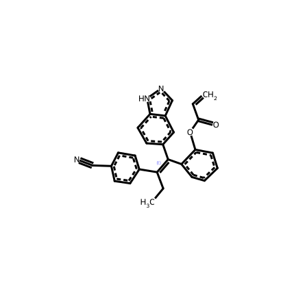 C=CC(=O)Oc1ccccc1/C(=C(\CC)c1ccc(C#N)cc1)c1ccc2[nH]ncc2c1